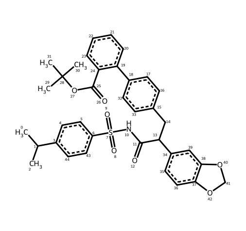 CC(C)c1ccc(S(=O)(=O)NC(=O)C(Cc2ccc(-c3ccccc3C(=O)OC(C)(C)C)cc2)c2ccc3c(c2)OCO3)cc1